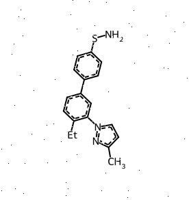 CCc1ccc(-c2ccc(SN)cc2)cc1-n1ccc(C)n1